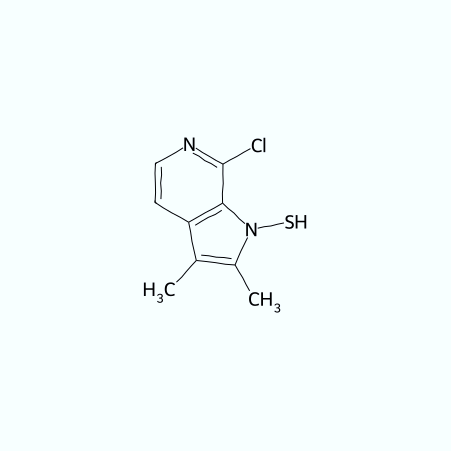 Cc1c(C)n(S)c2c(Cl)nccc12